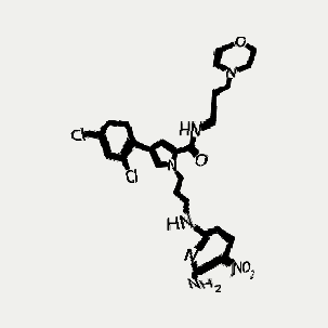 Nc1nc(NCCCn2cc(-c3ccc(Cl)cc3Cl)cc2C(=O)NCCCN2CCOCC2)ccc1[N+](=O)[O-]